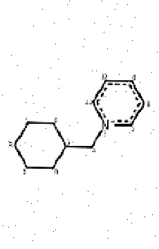 c1cc[n+](CC2CCCCC2)cc1